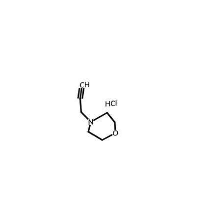 C#CCN1CCOCC1.Cl